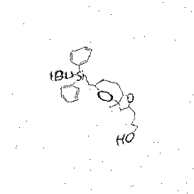 CC12CC(CCCO)OC1CCC(CC[Si](c1ccccc1)(c1ccccc1)C(C)(C)C)O2